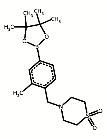 Cc1cc(B2OC(C)(C)C(C)(C)O2)ccc1CN1CCS(=O)(=O)CC1